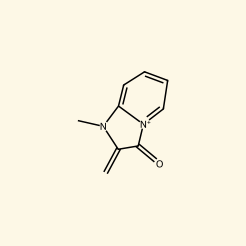 C=C1C(=O)[n+]2ccccc2N1C